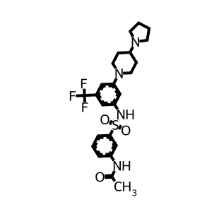 CC(=O)Nc1cccc(S(=O)(=O)Nc2cc(N3CCC(N4CCCC4)CC3)cc(C(F)(F)F)c2)c1